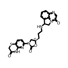 O=C1CSc2ccc(N3C[C@@H](CCCNC4Cn5c(=O)cnc6cccc4c65)OC3=O)nc2N1